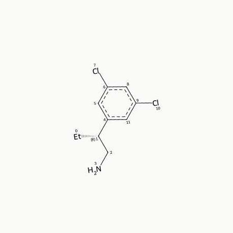 CC[C@@H](CN)c1cc(Cl)cc(Cl)c1